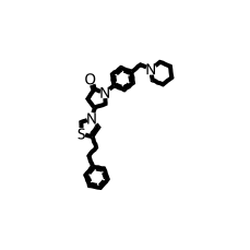 O=C1CC(N2C=C(CCc3ccccc3)SC2)CN1c1ccc(CN2CCCCC2)cc1